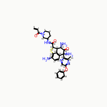 C=CC(=O)N1CCCC(NC(=O)C2Sc3c(N)ccc4c3C2C(N)C(=O)C4(N)c2ncc(Oc3ccccc3)nc2C)C1